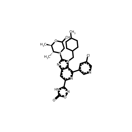 CC1CCC(Cn2c(N3CC(C)O[C@H](C)[C@H]3C)nc3cc(-c4noc(=O)[nH]4)nc(-c4cncc(Cl)c4)c32)CC1